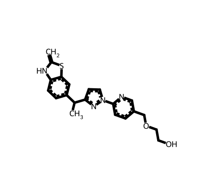 C=C1Nc2ccc(C(C)c3ccn(-c4ccc(COCCO)cn4)n3)cc2S1